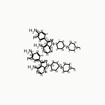 CN1CCN([C@H]2CC[C@@H](n3nc(-c4ccc(N)c(F)c4)c4c(N)ncnc43)CC2)CC1.CN1CCN([C@H]2CC[C@H](n3nc(-c4ccc(N)c(F)c4)c4c(N)ncnc43)CC2)CC1